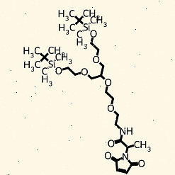 CC(C(=O)NCCOCCOC(COCCO[Si](C)(C)C(C)(C)C)COCCO[Si](C)(C)C(C)(C)C)N1C(=O)C=CC1=O